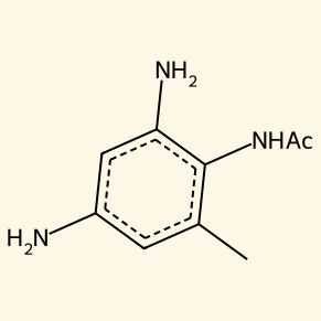 CC(=O)Nc1c(C)cc(N)cc1N